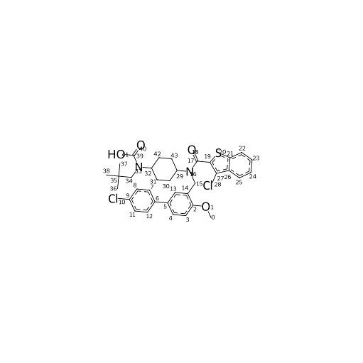 COc1ccc(-c2ccc(Cl)cc2)cc1CN(C(=O)c1sc2ccccc2c1Cl)C1CCC(N(CC(C)(C)C)C(=O)O)CC1